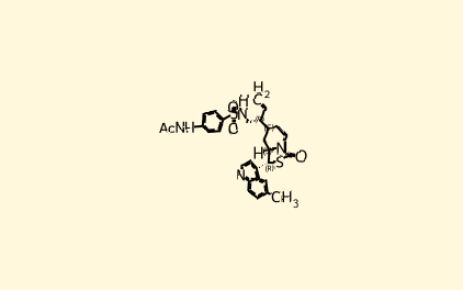 C=C[C@@H](CNS(=O)(=O)c1ccc(NC(C)=O)cc1)[C@H]1CCN2C(=O)S[C@H](c3ccnc4ccc(C)cc34)[C@@H]2C1